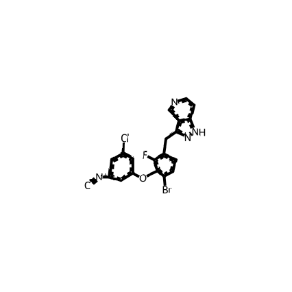 [C-]#[N+]c1cc(Cl)cc(Oc2c(Br)ccc(Cc3n[nH]c4ccncc34)c2F)c1